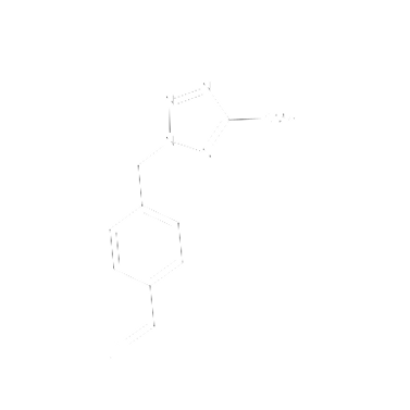 C=Cc1ccc(Cn2nnc(SC)n2)cc1